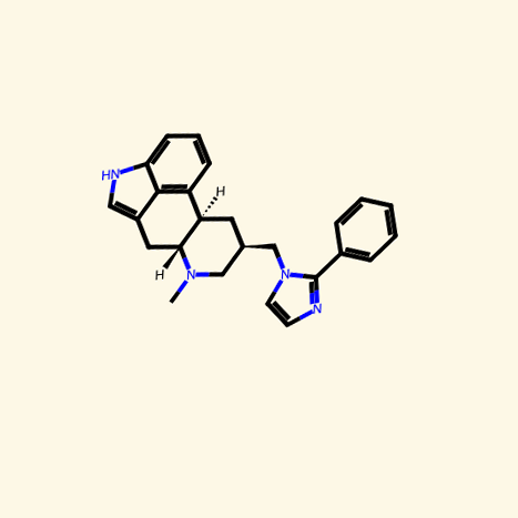 CN1C[C@H](Cn2ccnc2-c2ccccc2)C[C@@H]2c3cccc4[nH]cc(c34)C[C@H]21